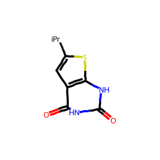 CC(C)c1cc2c(=O)[nH]c(=O)[nH]c2s1